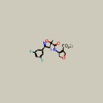 CCOC(=O)C1=C(NC(=O)C2(C)CC(c3cc(F)cc(F)c3)=NO2)COC1